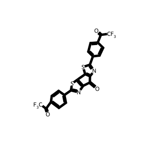 O=C1c2nc(-c3ccc(C(=O)C(F)(F)F)cc3)sc2-c2sc(-c3ccc(C(=O)C(F)(F)F)cc3)nc21